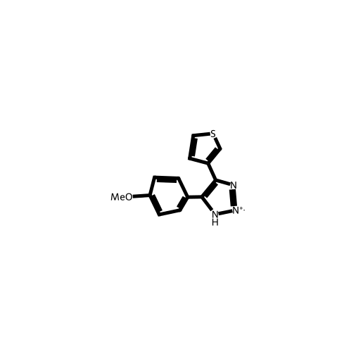 COc1ccc(C2=C(c3ccsc3)N=[N+]N2)cc1